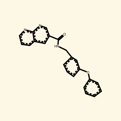 O=C(NCc1cccc(Oc2ccccc2)c1)c1cnc2ncccc2c1